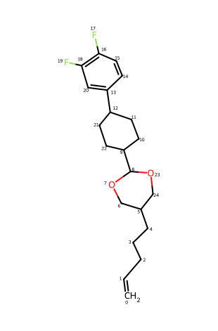 C=CCCCC1COC(C2CCC(c3ccc(F)c(F)c3)CC2)OC1